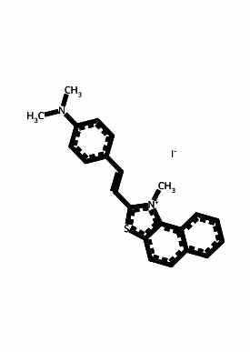 CN(C)c1ccc(C=Cc2sc3ccc4ccccc4c3[n+]2C)cc1.[I-]